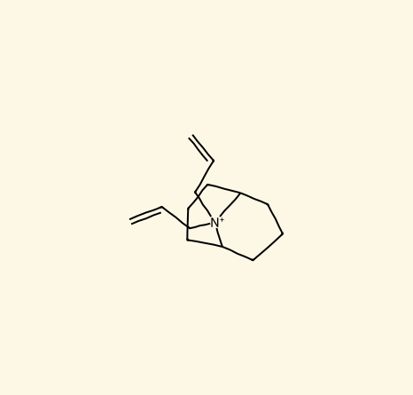 C=CC[N+]1(CC=C)C2CCCC1CCC2